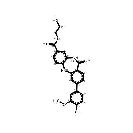 COc1cc(-c2ccc3c(c2)Nc2ccc(C(=O)NCCO)cc2NC3=O)ccc1O